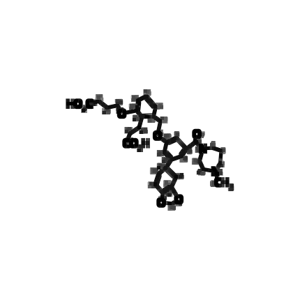 CN1CCCN(C(=O)c2cc(OCc3cccc(OCCCC(=O)O)c3CCC(=O)O)cc(-c3ccc4c(c3)OCO4)c2)CC1